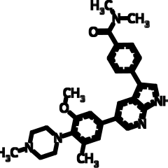 COc1cc(-c2cnc3[nH]cc(-c4ccc(C(=O)N(C)C)cc4)c3c2)cc(C)c1N1CCN(C)CC1